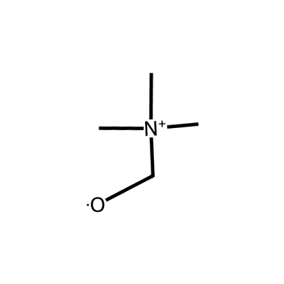 C[N+](C)(C)C[O]